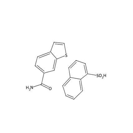 NC(=O)c1ccc2ccsc2c1.O=S(=O)(O)c1cccc2ccccc12